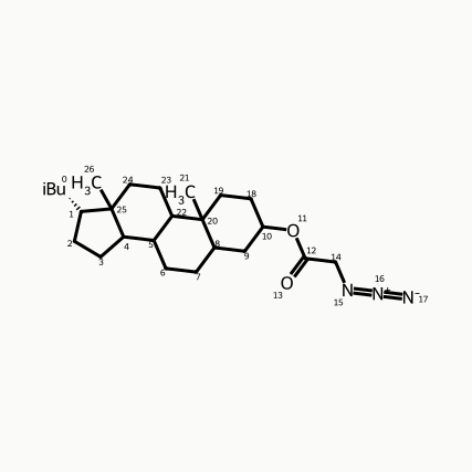 CC[C@@H](C)C1CCC2C3CCC4CC(OC(=O)CN=[N+]=[N-])CCC4(C)C3CCC21C